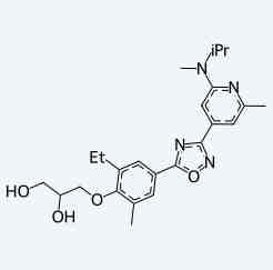 CCc1cc(-c2nc(-c3cc(C)nc(N(C)C(C)C)c3)no2)cc(C)c1OCC(O)CO